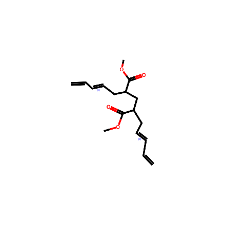 C=C/C=C/CC(CC(C/C=C/C=C)C(=O)OC)C(=O)OC